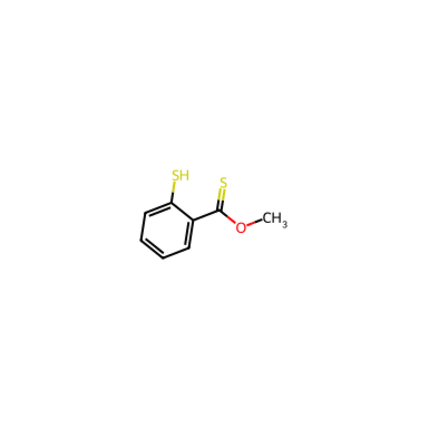 COC(=S)c1ccccc1S